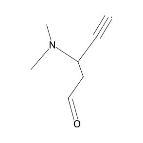 [C]#CC(CC=O)N(C)C